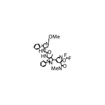 CNC(=O)c1cc(-c2nn(-c3ccccc3)c(NC(=O)N[C@@H]3CN(CCOC)C[C@H]3c3ccccc3)c2C)cnc1OC(F)F